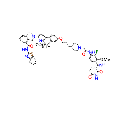 CNc1c(C(=N)C2CCC(=O)NC2=O)ccc(NC(=O)CN2CCC(CCCOc3ccc(-c4ccc(N5CCc6cccc(C(=O)Nc7nc8ccccc8s7)c6C5)nc4C(=O)O)c(C)c3)CC2)c1F